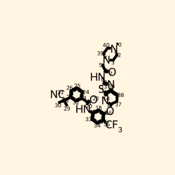 CN1CCN(CC(=O)Nc2nc3c(s2)=NC(Oc2cc(NC(=O)c4cccc(C(C)(C)C#N)c4)ccc2C(F)(F)F)CC=3)CC1